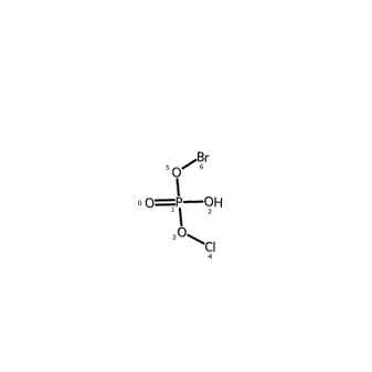 O=P(O)(OCl)OBr